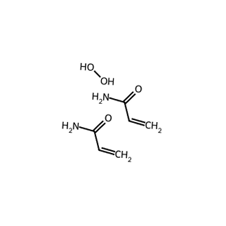 C=CC(N)=O.C=CC(N)=O.OO